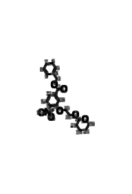 O=C(OCc1ccccc1)c1ccc([N+](=O)[O-])c(OCCOC2CCCCO2)c1